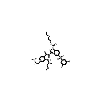 CCOCCOC(=O)n1nc(NC(=O)c2ccc(C[C@H](C)N(C)C)cc2NC(C)COC)c2cc(S(=O)(=O)c3cc(F)cc(F)c3)ccc21